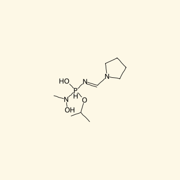 CC(C)O[PH](O)(N=CN1CCCC1)N(C)O